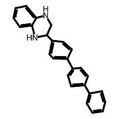 c1ccc(-c2ccc(-c3ccc(C4CNc5ccccc5N4)cc3)cc2)cc1